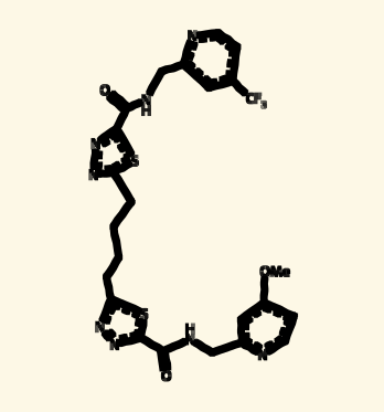 COc1ccnc(CNC(=O)c2nnc(CCCCc3nnc(C(=O)NCc4cc(C(F)(F)F)ccn4)s3)s2)c1